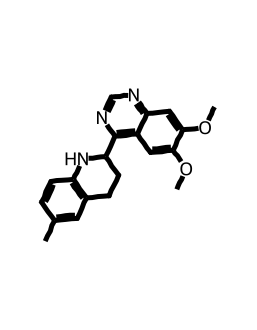 COc1cc2ncnc(C3CCc4cc(C)ccc4N3)c2cc1OC